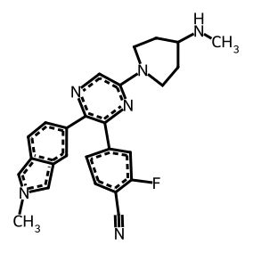 CNC1CCN(c2cnc(-c3ccc4cn(C)cc4c3)c(-c3ccc(C#N)c(F)c3)n2)CC1